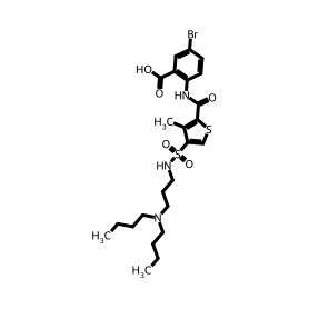 CCCCN(CCCC)CCCNS(=O)(=O)c1csc(C(=O)Nc2ccc(Br)cc2C(=O)O)c1C